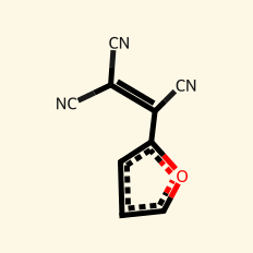 N#CC(C#N)=C(C#N)c1ccco1